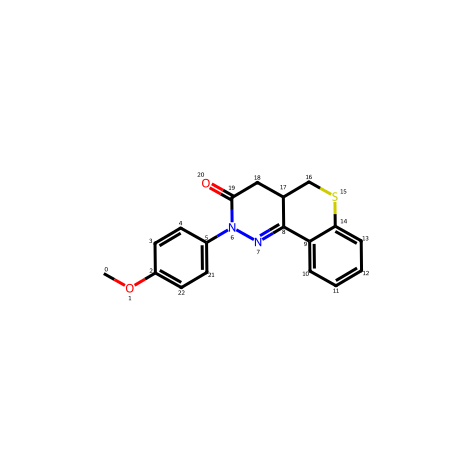 COc1ccc(N2N=C3c4ccccc4SCC3CC2=O)cc1